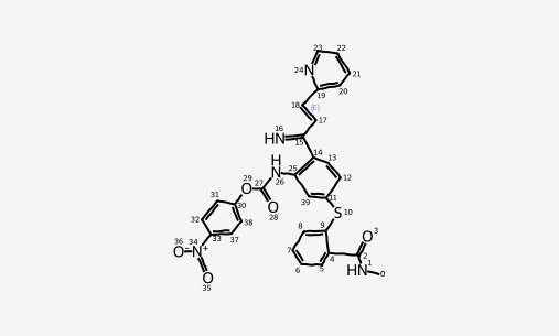 CNC(=O)c1ccccc1Sc1ccc(C(=N)/C=C/c2ccccn2)c(NC(=O)Oc2ccc([N+](=O)[O-])cc2)c1